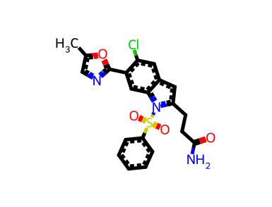 Cc1cnc(-c2cc3c(cc2Cl)cc(CCC(N)=O)n3S(=O)(=O)c2ccccc2)o1